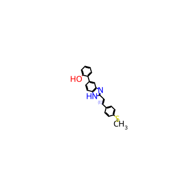 CSc1ccc(/C=C/c2nc3cc(-c4ccccc4O)ccc3[nH]2)cc1